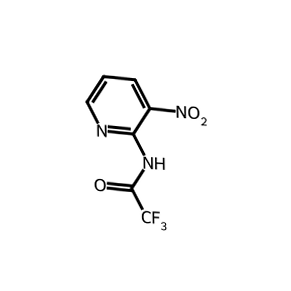 O=C(Nc1ncccc1[N+](=O)[O-])C(F)(F)F